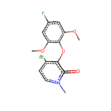 COc1cc(F)cc(OC)c1Oc1c(Br)ccn(C)c1=O